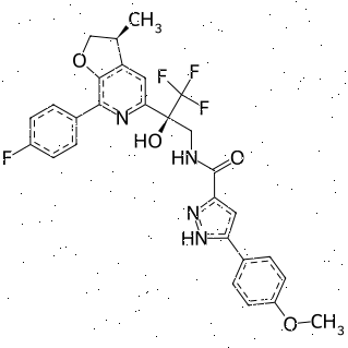 COc1ccc(-c2cc(C(=O)NC[C@](O)(c3cc4c(c(-c5ccc(F)cc5)n3)OC[C@H]4C)C(F)(F)F)n[nH]2)cc1